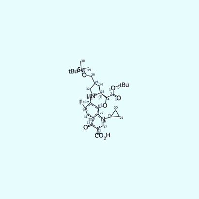 CC(C)(C)OC(=O)C(Oc1c(F)c(F)cc2c(=O)c(C(=O)O)cn(C3CC3)c12)[C@@H]1CC(CO[Si](C)(C)C(C)(C)C)CN1